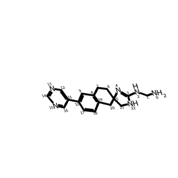 NCNC1=NC2(CCc3cc(-c4cncnc4)ccc3C2)CN1